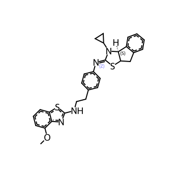 COc1cccc2sc(NCCc3ccc(/N=C4\SC5Cc6ccccc6[C@@H]5N4C4CC4)cc3)nc12